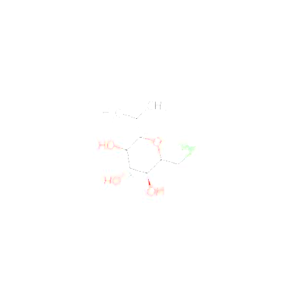 CC(C)[C@@H]1OC(C[18F])[C@@H](O)[C@H](O)C1O